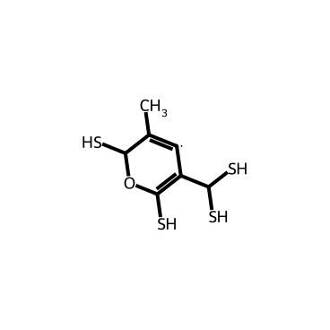 CC1=[C]C(C(S)S)=C(S)OC1S